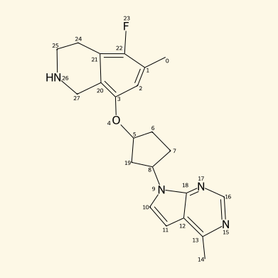 Cc1cc(OC2CCC(n3ccc4c(C)ncnc43)C2)c2c(c1F)CCNC2